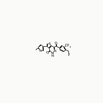 Cc1ccc(-c2csc3c(C(=O)c4ccc(CF)c(C(F)(F)F)c4)n[nH]c(=O)c23)cn1